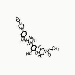 CC1(C)CN(C(=O)CCO)C[C@H](F)[C@H]1Oc1ccc(-c2ncnc(Nc3ccc(N4CCN(C5COC5)CC4)cc3)n2)cc1C#N